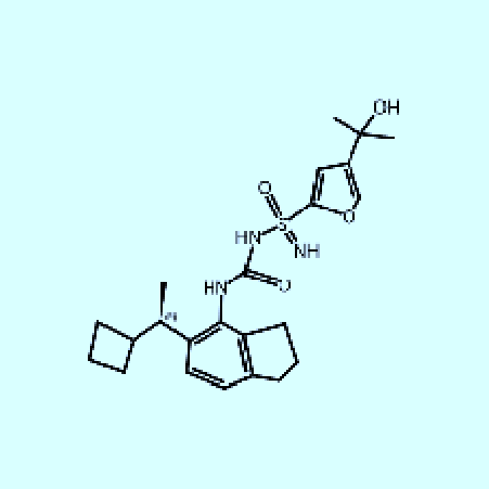 C[C@@H](c1ccc2c(c1NC(=O)NS(=N)(=O)c1cc(C(C)(C)O)co1)CCC2)C1CCC1